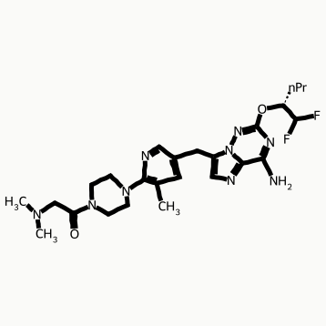 CCC[C@@H](Oc1nc(N)c2ncc(Cc3cnc(N4CCN(C(=O)CN(C)C)CC4)c(C)c3)n2n1)C(F)F